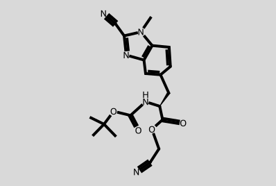 Cn1c(C#N)nc2cc(C[C@H](NC(=O)OC(C)(C)C)C(=O)OCC#N)ccc21